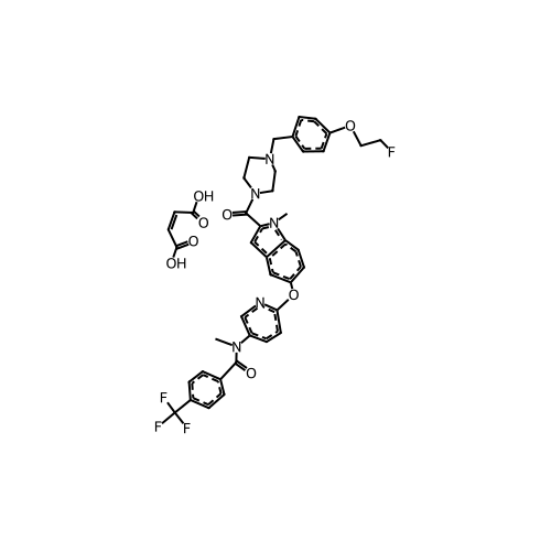 CN(C(=O)c1ccc(C(F)(F)F)cc1)c1ccc(Oc2ccc3c(c2)cc(C(=O)N2CCN(Cc4ccc(OCCF)cc4)CC2)n3C)nc1.O=C(O)/C=C\C(=O)O